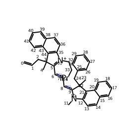 C=CCC1(C)C(/C=C/C=C2/N(C)c3ccc4ccccc4c3C2(C)Cc2ccccc2)=[N+](CCC(C)C)c2ccc3ccccc3c21